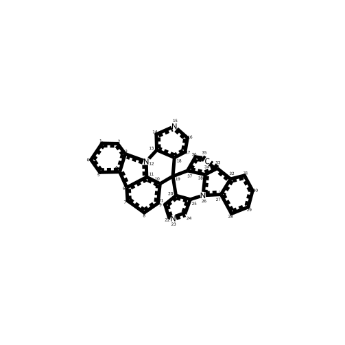 c1ccc2c(c1)c1cccc3c1n2-c1cnccc1C31c2ccncc2-n2c3ccccc3c3cccc1c32